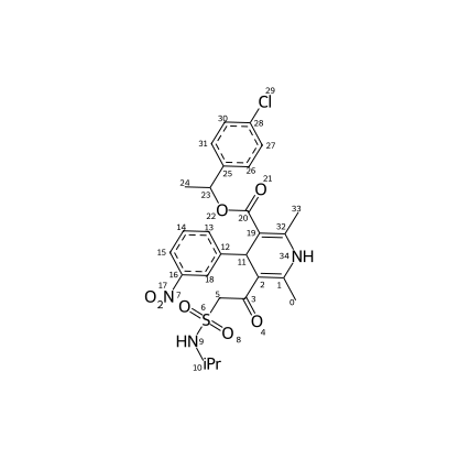 CC1=C(C(=O)CS(=O)(=O)NC(C)C)C(c2cccc([N+](=O)[O-])c2)C(C(=O)OC(C)c2ccc(Cl)cc2)=C(C)N1